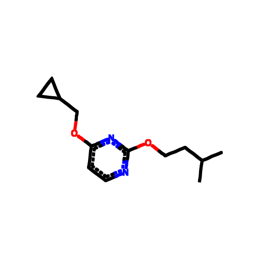 CC(C)CCOc1nccc(OCC2CC2)n1